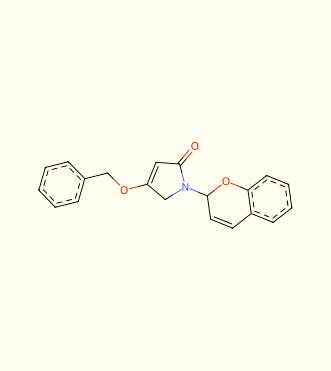 O=C1C=C(OCc2ccccc2)CN1C1C=Cc2ccccc2O1